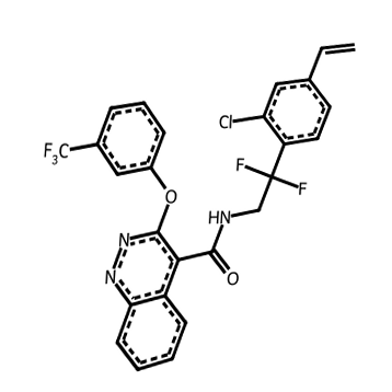 C=Cc1ccc(C(F)(F)CNC(=O)c2c(Oc3cccc(C(F)(F)F)c3)nnc3ccccc23)c(Cl)c1